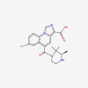 C[C@H]1NCCN(C(=O)c2cc3c(C(=O)O)ncn3c3ccc(Cl)cc23)C1(C)C